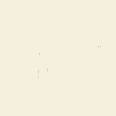 CCCC1=Cc2c(ccc(C(C)C)c2-c2ccccc2C)[CH]1[Zr]([Cl])([Cl])[c]1cccc2c1[SiH2]c1ccccc1-2